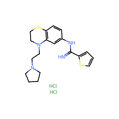 Cl.Cl.N=C(Nc1ccc2c(c1)N(CCN1CCCC1)CCS2)c1cccs1